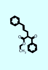 CCOC(=O)C(CC=Cc1ccccc1)C(=O)c1ccccc1